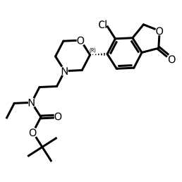 CCN(CCN1CCO[C@H](c2ccc3c(c2Cl)COC3=O)C1)C(=O)OC(C)(C)C